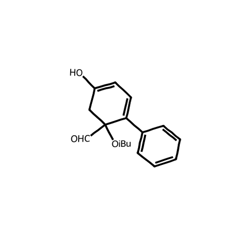 CC(C)COC1(C=O)CC(O)=CC=C1c1ccccc1